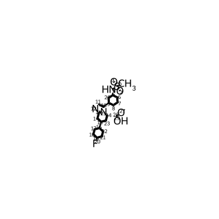 CS(=O)(=O)Nc1cccc(-c2cnc3cc(-c4ccc(F)cc4)ccn23)c1.O=CO